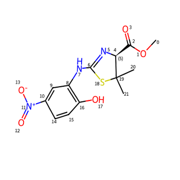 COC(=O)[C@@H]1N=C(Nc2cc([N+](=O)[O-])ccc2O)SC1(C)C